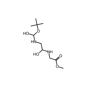 COC(=O)CNC(O)CNC(O)OC(C)(C)C